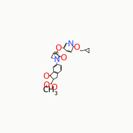 COC(=O)C1Cc2ccc(N3CC[C@@H](Oc4ccc(OCC5CC5)nc4)C3=O)cc2C1=O